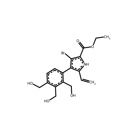 C=Cc1[nH]c(C(=O)OCC)c(Br)c1-c1ccc(CO)c(CO)c1CO